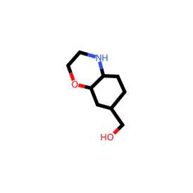 OCC1CCC2NCCOC2C1